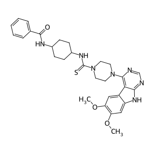 COc1cc2[nH]c3ncnc(N4CCN(C(=S)NC5CCC(NC(=O)c6ccccc6)CC5)CC4)c3c2cc1OC